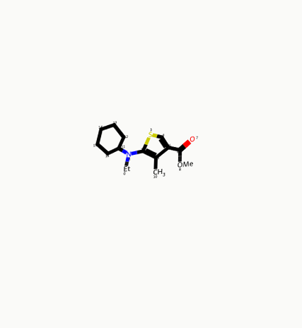 CCN(c1scc(C(=O)OC)c1C)C1CCCCC1